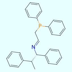 CC(c1ccccc1)[C@H](/N=C/CP(c1ccccc1)c1ccccc1)c1ccccc1